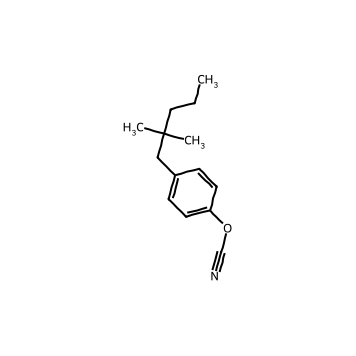 CCCC(C)(C)Cc1ccc(OC#N)cc1